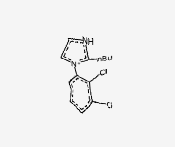 CCCCc1[nH]cc[n+]1-c1cccc(Cl)c1Cl